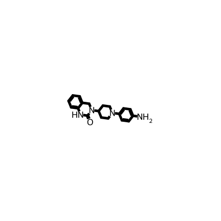 Nc1ccc(N2CCC(N3Cc4ccccc4NC3=O)CC2)cc1